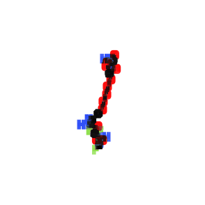 O=C1CCC(N2C(=O)c3ccc(OCCOCCOCCOCCOc4ccc(-c5cnc6[nH]cc(C(=O)c7c(F)ccc(NS(=O)(=O)N8CC[C@@H](F)C8)c7F)c6c5)cc4)cc3C2=O)C(=O)N1